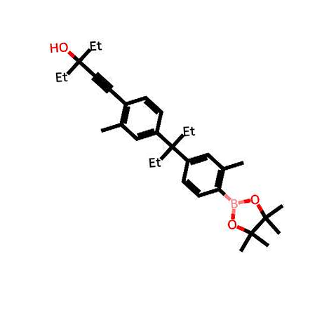 CCC(O)(C#Cc1ccc(C(CC)(CC)c2ccc(B3OC(C)(C)C(C)(C)O3)c(C)c2)cc1C)CC